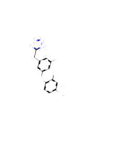 CS(=O)(=O)c1ccc(Oc2cc(Cl)cc(Cc3nnn[nH]3)c2)c(C(F)(F)F)c1